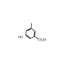 CCOC(=O)c1cccc(C)c1.Cl